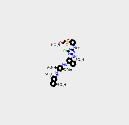 CCN(c1cccc(S(=O)(=O)CCOS(=O)(=O)O)c1)c1nc(Cl)nc(Nc2ccc(N=Nc3cc(NC(C)=O)c(N=Nc4cc5c(S(=O)(=O)O)cccc5cc4S(=O)(=O)O)cc3OC)c3cccc(S(=O)(=O)O)c23)n1